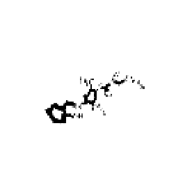 CCNC(=O)Oc1cc(C)c(/N=C/c2ccccc2O)cc1C